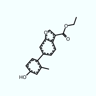 CCOC(=O)c1coc2cc(-c3ccc(O)cc3C)ccc12